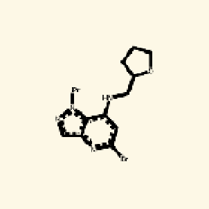 CC(C)n1ncc2nc(Br)cc(NCC3CCCO3)c21